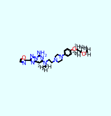 [2H]C([2H])([2H])OC([2H])([2H])C([2H])([2H])Oc1ccc(N2CCN(CCN(c3cc4nc(-c5ncco5)nn4c(N)n3)C([2H])([2H])[2H])CC2)cc1